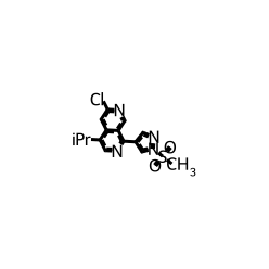 CC(C)c1cnc(-c2cnn(S(C)(=O)=O)c2)c2cnc(Cl)cc12